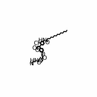 CCCCCCCCCCCCCC(=O)Nc1ccc(-c2cc(=O)oc3cc(OCC(=O)N(CC)CC(=O)NCCN(C)C)ccc23)c(Cl)c1